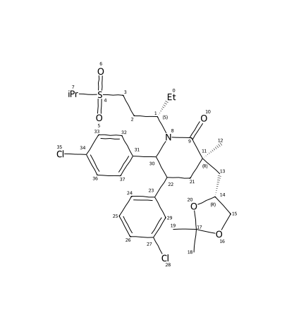 CC[C@@H](CCS(=O)(=O)C(C)C)N1C(=O)[C@@](C)(C[C@@H]2COC(C)(C)O2)CC(c2cccc(Cl)c2)C1c1ccc(Cl)cc1